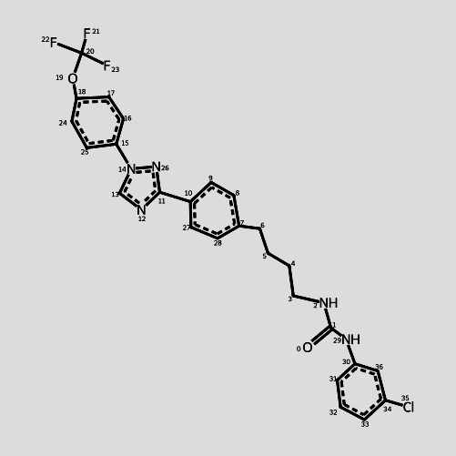 O=C(NCCCCc1ccc(-c2ncn(-c3ccc(OC(F)(F)F)cc3)n2)cc1)Nc1cccc(Cl)c1